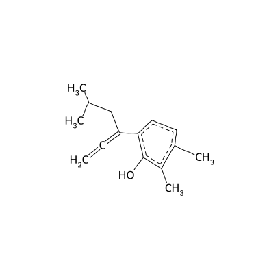 C=C=C(CC(C)C)c1ccc(C)c(C)c1O